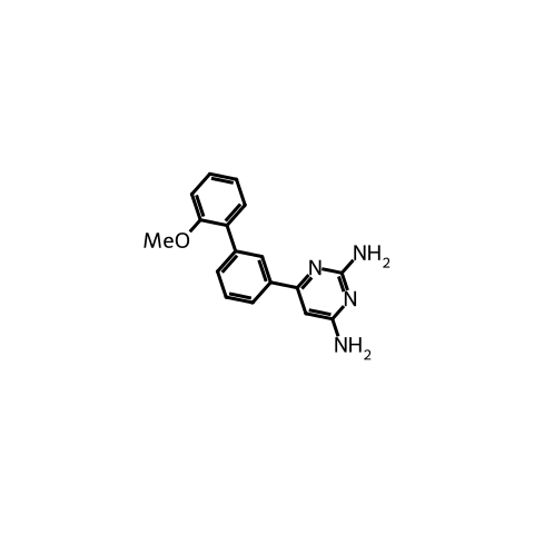 COc1ccccc1-c1cccc(-c2cc(N)nc(N)n2)c1